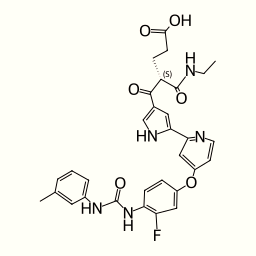 CCNC(=O)[C@@H](CCC(=O)O)C(=O)c1c[nH]c(-c2cc(Oc3ccc(NC(=O)Nc4cccc(C)c4)c(F)c3)ccn2)c1